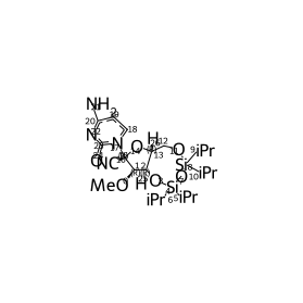 CO[C@@H]1[C@@H]2O[Si](C(C)C)(C(C)C)O[Si](C(C)C)(C(C)C)OC[C@H]2O[C@@]1(C#N)n1ccc(N)nc1=O